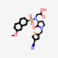 COc1ccc2ccc(S(=O)(=O)N(CC(=O)O)[C@H]3CCN(Cc4cc(C#N)cs4)C3=O)cc2c1